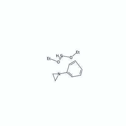 CCO[SiH2]OCC.c1ccc(N2CC2)cc1